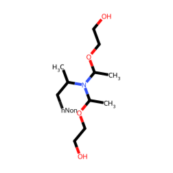 CCCCCCCCCCC(C)N(C(C)OCCO)C(C)OCCO